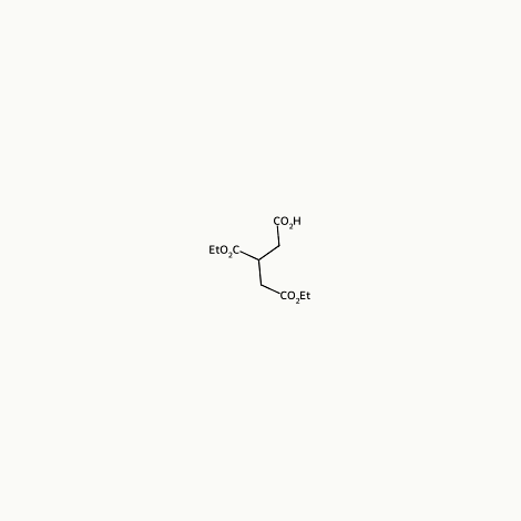 CCOC(=O)CC(CC(=O)O)C(=O)OCC